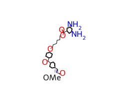 COC(=O)/C=C/c1ccc(C(=O)c2ccc(OCCCCCCOC(=O)c3cc(N)cc(N)c3)cc2)cc1